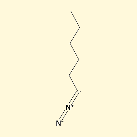 CCCCC[C]=[N+]=[N-]